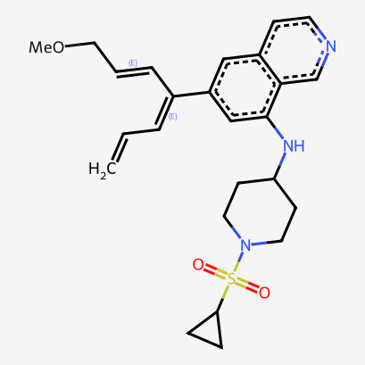 C=C/C=C(\C=C\COC)c1cc(NC2CCN(S(=O)(=O)C3CC3)CC2)c2cnccc2c1